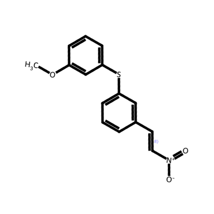 COc1cccc(Sc2cccc(/C=C/[N+](=O)[O-])c2)c1